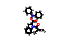 C=C(C)C(=O)N1c2ccccc2CC1C(=O)ON(C1CCCCC1)C1CCCCC1